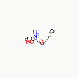 CC(N)(CO)CCc1ccc(CCCCCc2ccccc2)o1